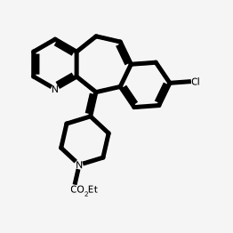 CCOC(=O)N1CCC(=C2C3=CC=C(Cl)CC3=CCc3cccnc32)CC1